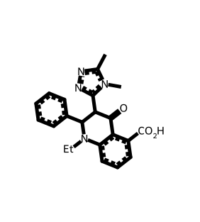 CCN1c2cccc(C(=O)O)c2C(=O)C(c2nnc(C)n2C)C1c1ccccc1